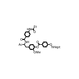 CCCCCCCOc1ccc(C(=O)Oc2ccc(CC(NC(=O)c3ccc(NC(=O)CC)cc3)C(C)=O)cc2OC)cc1